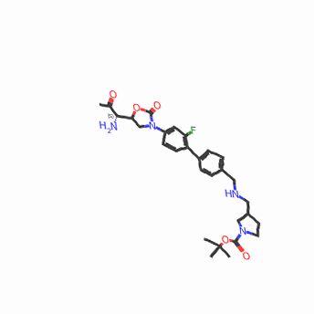 CC(=O)[C@@H](N)C1CN(c2ccc(-c3ccc(CNCC4CCN(C(=O)OC(C)(C)C)C4)cc3)c(F)c2)C(=O)O1